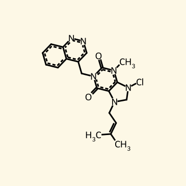 CC(C)=CCN1CN(Cl)c2c1c(=O)n(Cc1cnnc3ccccc13)c(=O)n2C